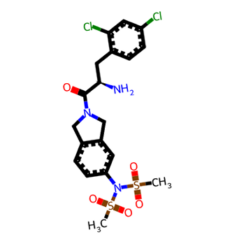 CS(=O)(=O)N(c1ccc2c(c1)CN(C(=O)[C@H](N)Cc1ccc(Cl)cc1Cl)C2)S(C)(=O)=O